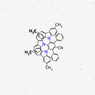 Cc1ccc2c(c1)c1cc(C)ccc1n2-c1c(-c2ccccc2)c(C#N)c(-c2ccccc2)c(-n2c3ccc(C)cc3c3cc(C)ccc32)c1-n1c2ccc(C)cc2c2cc(C)ccc21